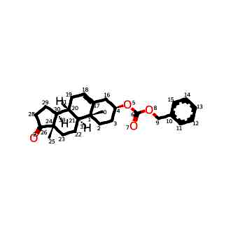 C[C@]12CC[C@H](OC(=O)OCc3ccccc3)CC1=CC[C@@H]1[C@@H]2CC[C@]2(C)C(=O)CC[C@@H]12